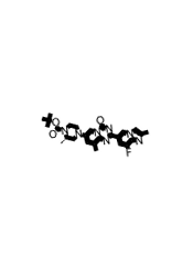 Cc1cn2cc(-c3nc(=O)n4cc(N5CCN(C(=O)OC(C)(C)C)[C@@H](C)C5)cc(C)c4n3)cc(F)c2n1